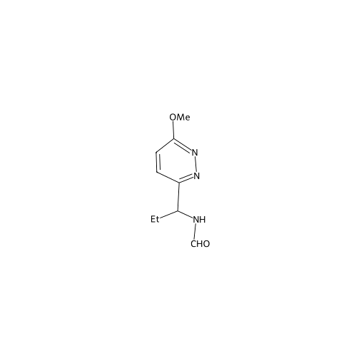 CCC(NC=O)c1ccc(OC)nn1